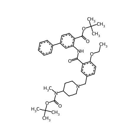 CCOc1ccc(CN2CCC(N(C)C(=O)OC(C)(C)C)CC2)cc1C(=O)Nc1cc(-c2ccccc2)ccc1C(=O)OC(C)(C)C